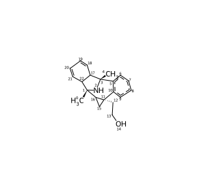 C[C@@]12N[C@@](C)(c3ccccc3[C@@]3(CCO)CC31)C1C=CC=CC12